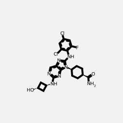 NC(=O)[C@H]1CC[C@@H](n2c(Nc3c(F)cc(Cl)cc3Cl)nc3cnc(N[C@H]4C[C@@H](O)C4)nc32)CC1